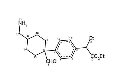 CCOC(=O)C(CC)c1ccc(C2(C=O)CCC(CN)CC2)cc1